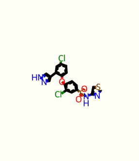 O=S(=O)(Nc1cscn1)c1ccc(Oc2ccc(Cl)cc2-c2cn[nH]c2)c(Cl)c1